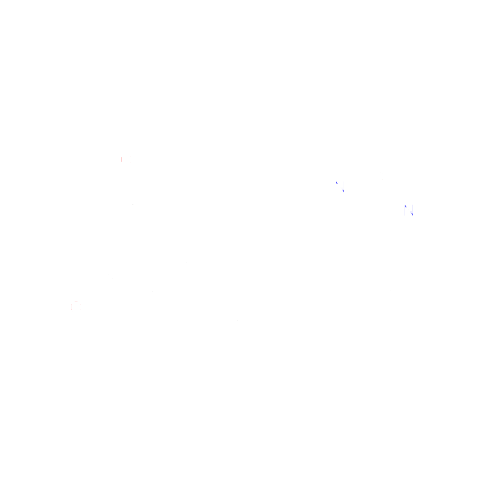 Cc1ccc(-c2ccc3c4c(cccc24)C(=O)CC3=O)c2nsnc12